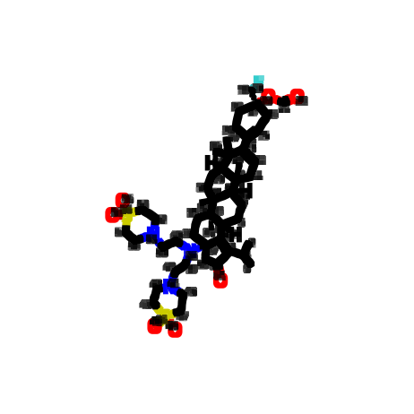 CC(C)C1=C2[C@H]3CC[C@@H]4[C@@]5(C)CC=C(C6=CC[C@](CF)(OC=O)CC6)C(C)(C)[C@@H]5CC[C@@]4(C)[C@]3(C)CC[C@@]2(N(CCN2CCS(=O)(=O)CC2)CCN2CCS(=O)(=O)CC2)CC1=O